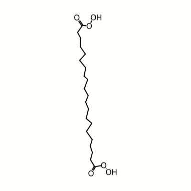 O=C(CCCCCCCCCCCCCCCCCCCC(=O)OO)OO